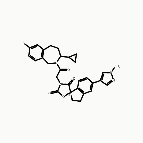 Cn1cc(-c2ccc3c(c2)CC[C@]32OC(=O)N(CC(=O)N3Cc4ccc(F)cc4CCC3C3CC3)C2=O)cn1